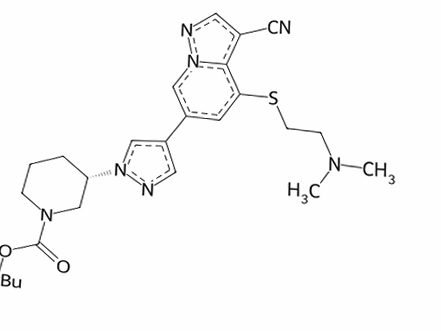 CN(C)CCSc1cc(-c2cnn([C@H]3CCCN(C(=O)OC(C)(C)C)C3)c2)cn2ncc(C#N)c12